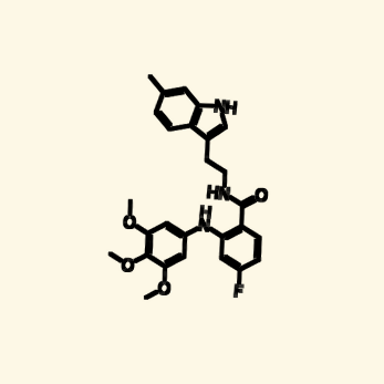 COc1cc(Nc2cc(F)ccc2C(=O)NCCc2c[nH]c3cc(C)ccc23)cc(OC)c1OC